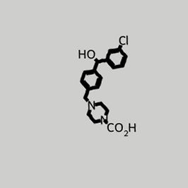 O=C(O)N1CCN(Cc2ccc(C(O)c3cccc(Cl)c3)cc2)CC1